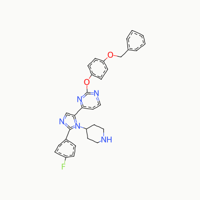 Fc1ccc(-c2ncc(-c3ccnc(Oc4ccc(OCc5ccccc5)cc4)n3)n2C2CCNCC2)cc1